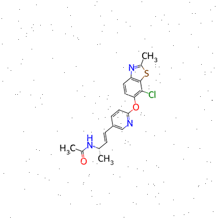 CC(=O)N[C@@H](C)/C=C/c1ccc(Oc2ccc3nc(C)sc3c2Cl)nc1